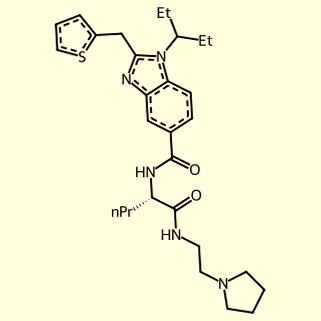 CCC[C@H](NC(=O)c1ccc2c(c1)nc(Cc1cccs1)n2C(CC)CC)C(=O)NCCN1CCCC1